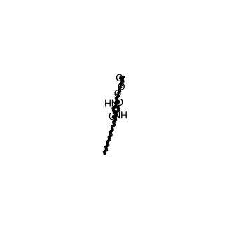 CCCCCCCCCCCCCCCC(=O)N[C@H]1CC[C@H](NC(=O)CCOCCOCCC(C)=O)CC1